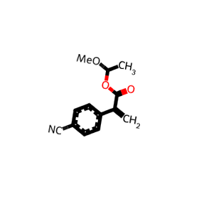 C=C(C(=O)OC(C)OC)c1ccc(C#N)cc1